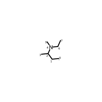 [CH2]CC(C)N(C)CC